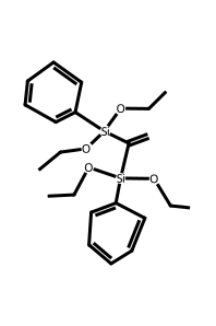 C=C([Si](OCC)(OCC)c1ccccc1)[Si](OCC)(OCC)c1ccccc1